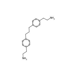 NCCc1ccc(CCCc2ccc(CCN)cc2)cc1